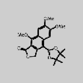 COc1cc2c(OC)c3c(c(B4OC(C)(C)C(C)(C)O4)c2cc1OC)COC3=O